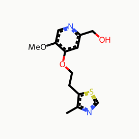 COc1cnc(CO)cc1OCCc1scnc1C